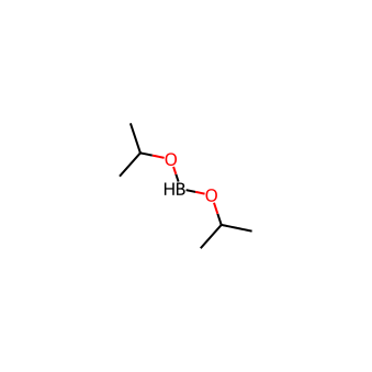 CC(C)OBOC(C)C